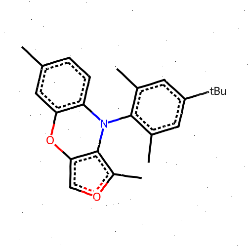 Cc1ccc2c(c1)Oc1coc(C)c1N2c1c(C)cc(C(C)(C)C)cc1C